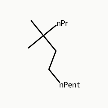 CCCCCCCC(C)(C)CCC